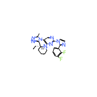 CC[C@@]12CCCCN1c1nc(-n3ccnc3-c3cccc(F)c3F)ncc1-n1c(C)nnc12